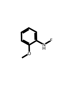 COc1ccccc1NF